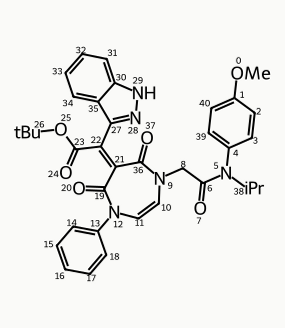 COc1ccc(N(C(=O)CN2C=CN(c3ccccc3)C(=O)C(=C(C(=O)OC(C)(C)C)c3n[nH]c4ccccc34)C2=O)C(C)C)cc1